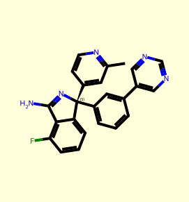 Cc1cc([C@]2(c3cccc(-c4cncnc4)c3)N=C(N)c3c(F)cccc32)ccn1